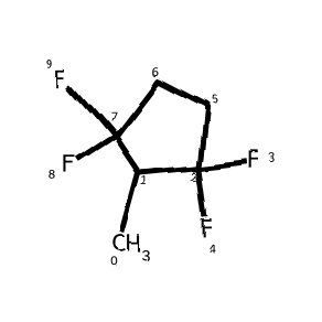 CC1C(F)(F)CCC1(F)F